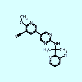 COc1ncc(-c2cnc(NC(C)(C)c3ncccc3Cl)nc2)cc1C#N